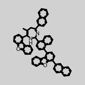 CC1=C(c2cccc3oc4ccccc4c23)NC(c2ccc(-c3ccc(-c4ccc5ccccc5c4)c4oc5ccccc5c34)c3ccccc23)N=C(c2ccc3ccccc3c2)C1